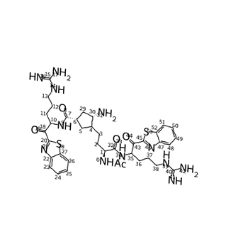 CC(=O)N[C@@H](CCC1C[C@H](C(=O)NC(CCCNC(=N)N)C(=O)c2nc3ccccc3s2)C[C@@H]1N)C(=O)NC(CCCNC(=N)N)C(=O)c1nc2ccccc2s1